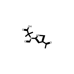 CC(=O)c1c[nH]c(N(C=O)C(C)(C)C(=O)O)c1